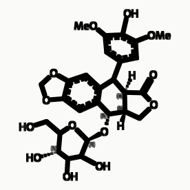 COc1cc(C2c3cc4c(cc3[C@@H](O[C@@H]3OC(CO)[C@@H](O)C(O)C3O)[C@H]3COC(=O)[C@H]23)OCO4)cc(OC)c1O